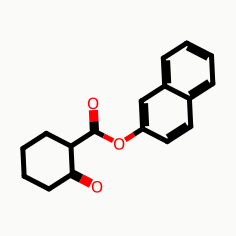 O=C1CCCCC1C(=O)Oc1ccc2ccccc2c1